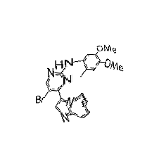 COc1cc(C)c(Nc2ncc(Br)c(-c3cnc4ccccn34)n2)cc1OC